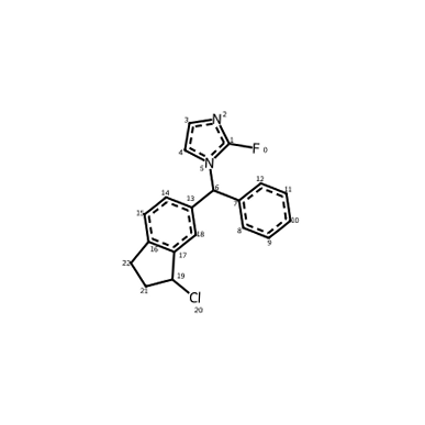 Fc1nccn1C(c1ccccc1)c1ccc2c(c1)C(Cl)CC2